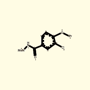 CNNC(=O)c1ccc(OC(C)C)c(Cl)c1